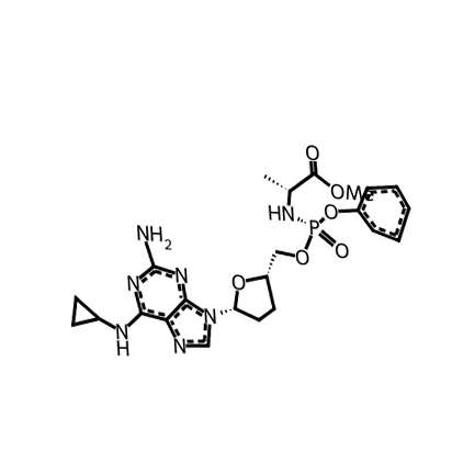 COC(=O)[C@@H](C)N[P@](=O)(OC[C@@H]1CC[C@H](n2cnc3c(NC4CC4)nc(N)nc32)O1)Oc1ccccc1